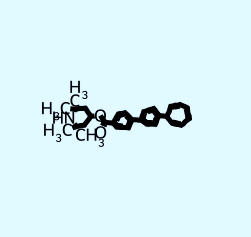 CC1(C)CC(OC(=O)c2ccc(-c3ccc(C4C=CC=CC=C4)cc3)cc2)CC(C)(C)N1